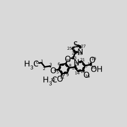 CCCCOc1cc2c(cc1OC)-c1cc(=O)c(C(=O)O)cn1C(c1cscn1)O2